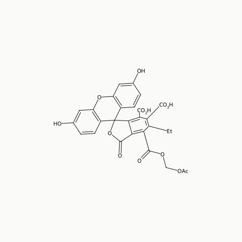 CCc1c(C(=O)O)c(C(=O)O)c2c(c1C(=O)OCOC(C)=O)C(=O)OC21c2ccc(O)cc2Oc2cc(O)ccc21